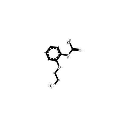 CCCOc1ccccc1OC(=O)Cl